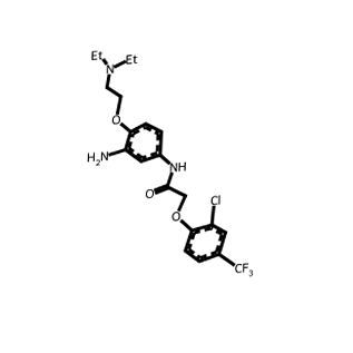 CCN(CC)CCOc1ccc(NC(=O)COc2ccc(C(F)(F)F)cc2Cl)cc1N